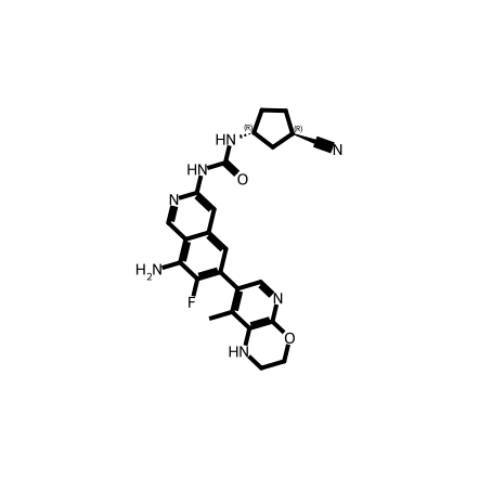 Cc1c(-c2cc3cc(NC(=O)N[C@@H]4CC[C@@H](C#N)C4)ncc3c(N)c2F)cnc2c1NCCO2